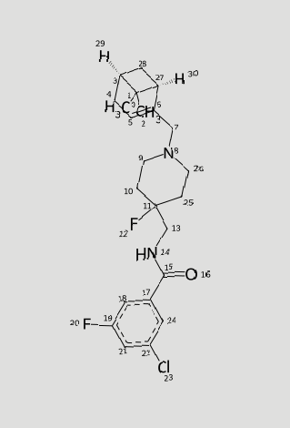 CC1(C)[C@H]2CC=C(CN3CCC(F)(CNC(=O)c4cc(F)cc(Cl)c4)CC3)[C@@H]1C2